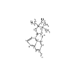 CC1(C)OB(c2cccc3cc(F)cc(F)c23)OC1(C)C